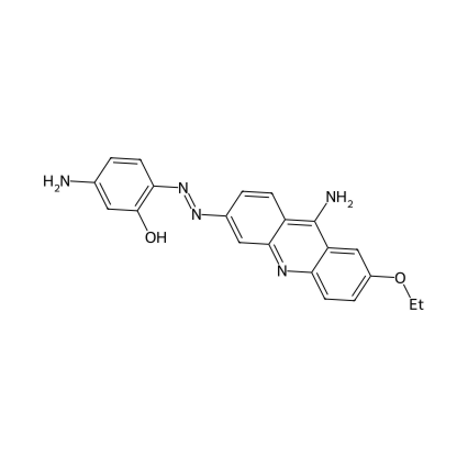 CCOc1ccc2nc3cc(/N=N/c4ccc(N)cc4O)ccc3c(N)c2c1